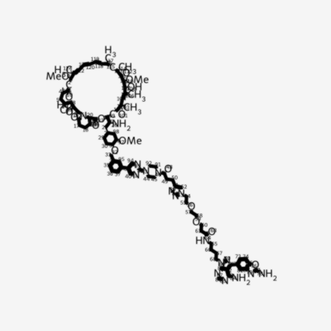 CO[C@H]1C[C@@H]2CC[C@@H](C)[C@@](O)(O2)C(=O)C(=O)N2CCCC[C@H]2C(=O)O[C@H]([C@H](N)C[C@@H]2CC[C@@H](OCc3cccc(-c4cnc(N5CCN(C(=O)CCc6cn(CCOCCOCCC(=O)NCCCCn7nc(-c8ccc9oc(N)nc9c8)c8c(N)ncnc87)nn6)CC5)nc4)c3)[C@H](OC)C2)CC(=O)[C@H](C)/C=C(\C)[C@@H](O)[C@@H](OC)C(=O)[C@H](C)C[C@H](C)/C=C/C=C/C=C/1C